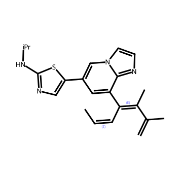 C=C(C)/C(C)=C(\C=C/C)c1cc(-c2cnc(NC(C)C)s2)cn2ccnc12